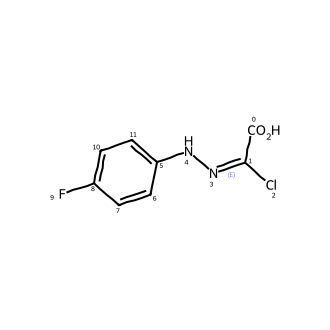 O=C(O)/C(Cl)=N\Nc1ccc(F)cc1